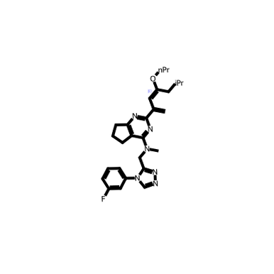 C=C(/C=C(\CC(C)C)OCCC)c1nc2c(c(N(C)Cc3nncn3-c3cccc(F)c3)n1)CCC2